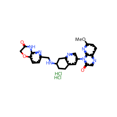 COc1ccc2ncc(=O)n(-c3cnc4c(c3)CCC(NCc3ccc5c(n3)NC(=O)CO5)C4)c2n1.Cl.Cl